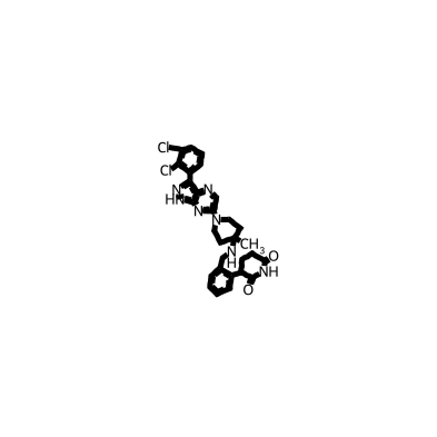 CC1(NCc2ccccc2C2CCC(=O)NC2=O)CCN(c2cnc3c(-c4cccc(Cl)c4Cl)n[nH]c3n2)CC1